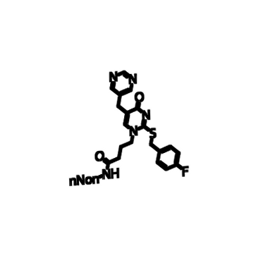 CCCCCCCCCNC(=O)CCCn1cc(Cc2cncnc2)c(=O)nc1SCc1ccc(F)cc1